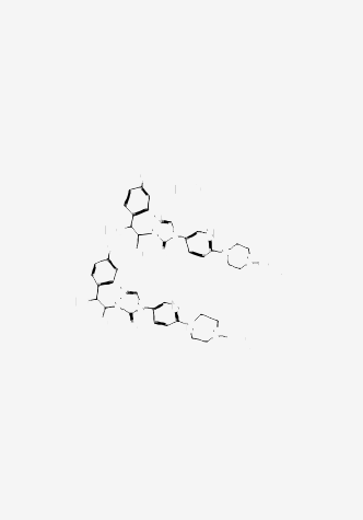 CCC(C(O)c1ccc(Cl)cc1)n1ncn(-c2ccc(N3CCN(C(=O)O)CC3)nc2)c1=O.CCC(C(O)c1ccc(Cl)cc1)n1ncn(-c2ccc(N3CCN(C(=O)O)CC3)nc2)c1=O.O